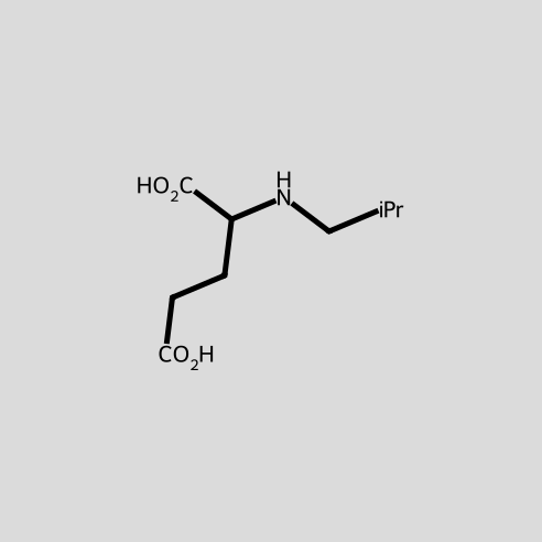 CC(C)CNC(CCC(=O)O)C(=O)O